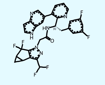 O=C(Cn1nc(C(F)F)c2c1C(F)(F)C1CC21)N[C@@H](Cc1cc(F)cc(F)c1)c1ncccc1-c1cnc2cc[nH]c2c1